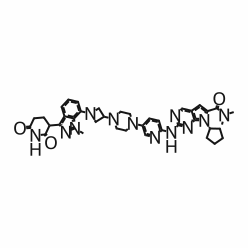 CN(C)C(=O)c1cc2cnc(Nc3ccc(N4CCN(C5CN(c6cccc7c(C8CCC(=O)NC8=O)nn(C)c67)C5)CC4)cn3)nc2n1C1CCCC1